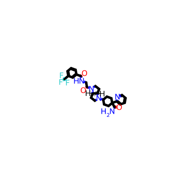 NC(=O)C1(c2ccccn2)CCC(N2CC[C@@H]3[C@H]2CCN3C(=O)CNC(=O)c2cccc(C(F)(F)F)c2)CC1